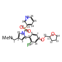 CNCc1cc(-c2ccc(OCC3CCCO3)cc2F)n(S(=O)(=O)c2cccnc2)c1